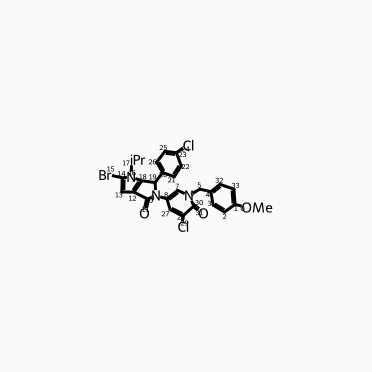 COc1ccc(Cn2cc(N3C(=O)c4cc(Br)n(C(C)C)c4C3c3ccc(Cl)cc3)cc(Cl)c2=O)cc1